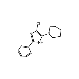 Clc1nc(-c2ccccc2)[nH]c1N1CCCCC1